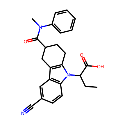 CCC(C(=O)O)n1c2c(c3cc(C#N)ccc31)CC(C(=O)N(C)c1ccccc1)CC2